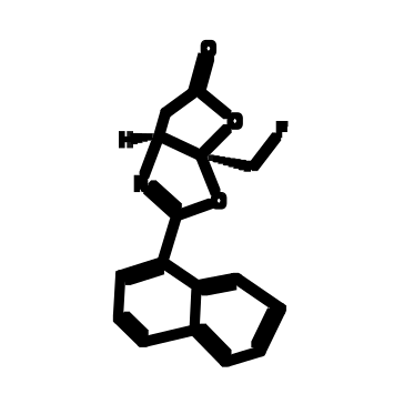 O=C1C[C@@H]2N=C(c3cccc4ccccc34)O[C@]2(CF)O1